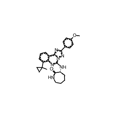 COc1ccc(-c2nc3c4cccc(C5(C)CC5)c4nc(N[C@@H]4CCCCNC4=O)n3n2)cc1